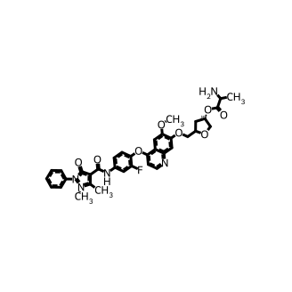 COc1cc2c(Oc3ccc(NC(=O)c4c(C)n(C)n(-c5ccccc5)c4=O)cc3F)ccnc2cc1OCC1C[C@H](OC(=O)C(C)N)CO1